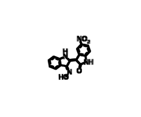 O=C1Nc2ccc([N+](=O)[O-])cc2C1=C1Nc2ccccc2C1=NO